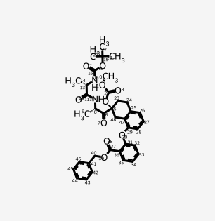 COC(=O)O[C@@]1(C(=O)[C@H](C)NC(=O)[C@H](C)NC(=O)OC(C)(C)C)CCc2cccc(Oc3ccccc3C(=O)OCc3ccccc3)c2C1